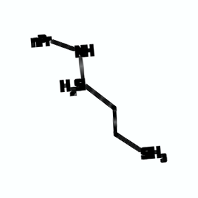 CCCN[SiH2]CC[SiH3]